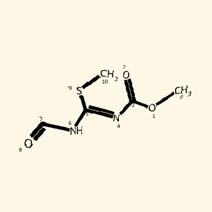 COC(=O)/N=C(/NC=O)SC